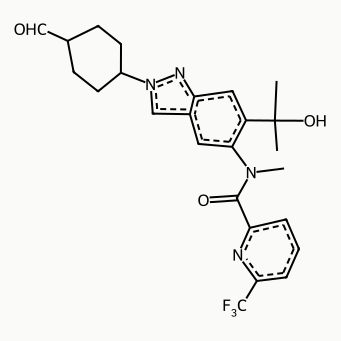 CN(C(=O)c1cccc(C(F)(F)F)n1)c1cc2cn(C3CCC(C=O)CC3)nc2cc1C(C)(C)O